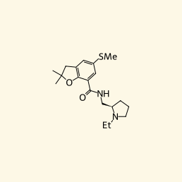 CCN1CCC[C@@H]1CNC(=O)c1cc(SC)cc2c1OC(C)(C)C2